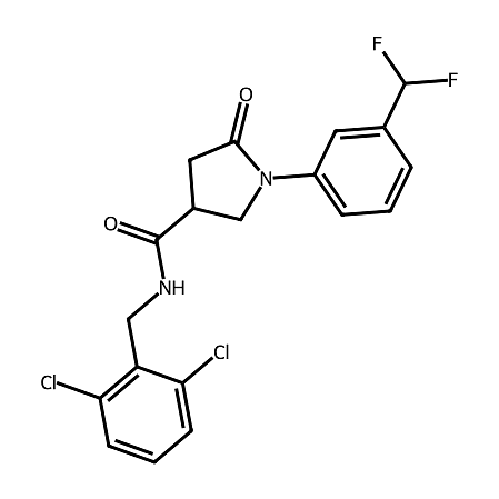 O=C(NCc1c(Cl)cccc1Cl)C1CC(=O)N(c2cccc(C(F)F)c2)C1